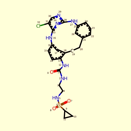 O=C(NCCNS(=O)(=O)C1CC1)Nc1ccc2cc1CCc1cccc(c1)Nc1ncc(Cl)c(n1)N2